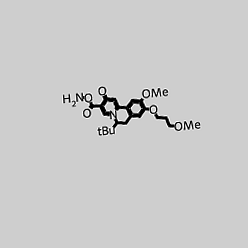 COCCCOc1cc2c(cc1OC)-c1cc(=O)c(C(=O)ON)cn1C(C(C)(C)C)C2